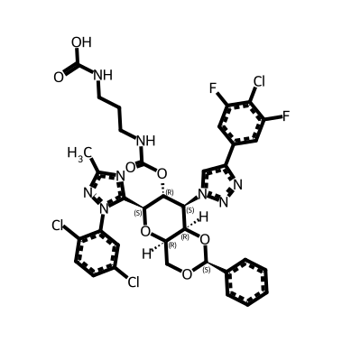 Cc1nc([C@@H]2O[C@@H]3CO[C@H](c4ccccc4)O[C@@H]3[C@H](n3cc(-c4cc(F)c(Cl)c(F)c4)nn3)[C@H]2OC(=O)NCCCNC(=O)O)n(-c2cc(Cl)ccc2Cl)n1